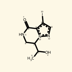 CC(O)C1CNC(=O)c2c(I)cnn21